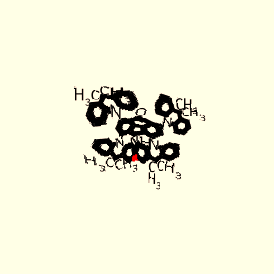 CC1(C)c2ccccc2N(c2cc(N3c4ccccc4C(C)(C)c4ccccc43)c3c4c2c(=N)c2c(N5c6ccccc6C(C)(C)c6ccccc65)cc(N5c6ccccc6C(C)(C)c6ccccc65)c(c2-4)c3=O)c2ccccc21